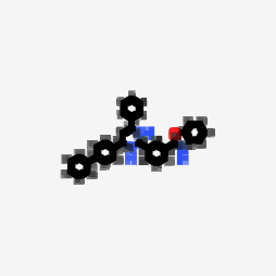 C1=C(c2ccccc2)NC(c2cccc(C3Nc4ccccc4O3)c2)NC1c1ccc(-c2ccccc2)cc1